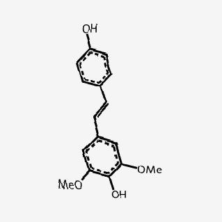 COc1cc(C=Cc2ccc(O)cc2)cc(OC)c1O